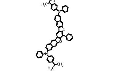 CC(C)c1ccc(N(c2ccccc2)c2ccc3cc4c(cc3c2)oc2c(-c3ccccc3)c3oc5cc6cc(N(c7ccccc7)c7ccc(C(C)C)cc7)ccc6cc5c3cc24)cc1